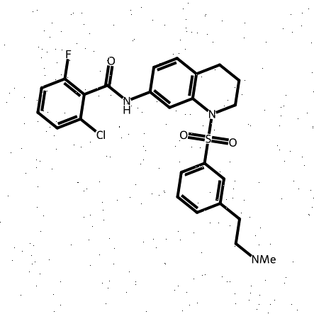 CNCCc1cccc(S(=O)(=O)N2CCCc3ccc(NC(=O)c4c(F)cccc4Cl)cc32)c1